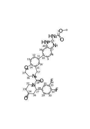 COC(=O)Nc1nc2ccc(-c3ccc4c(c3)CN(C(=O)N3CCC(=O)CC3c3ccc(F)c(F)c3)CCO4)cc2[nH]1